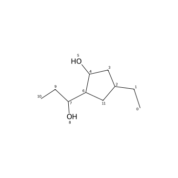 CCC1CC(O)C(C(O)CC)C1